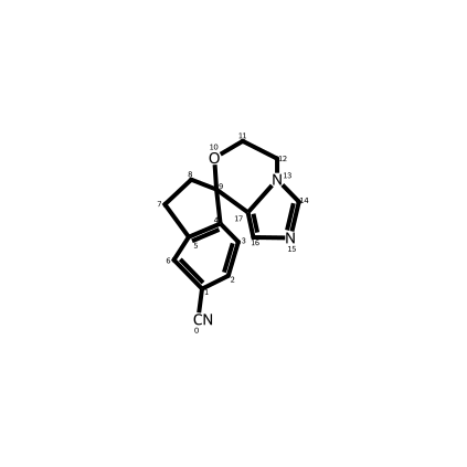 N#Cc1ccc2c(c1)CCC21OCCn2cncc21